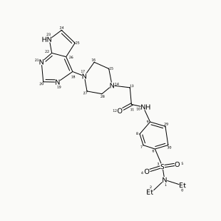 CCN(CC)S(=O)(=O)c1ccc(NC(=O)CN2CCN(c3ncnc4[nH]ccc34)CC2)cc1